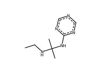 CCNC(C)(C)Nc1ncncn1